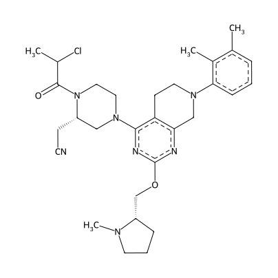 Cc1cccc(N2CCc3c(nc(OC[C@@H]4CCCN4C)nc3N3CCN(C(=O)C(C)Cl)[C@@H](CC#N)C3)C2)c1C